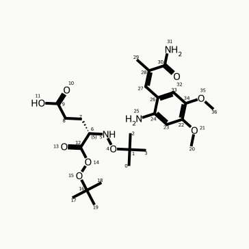 CC(C)(C)ON[C@@H](CCC(=O)O)C(=O)OOC(C)(C)C.COc1cc(N)c(C=C(C)C(N)=O)cc1OC